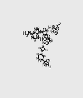 CCOP(=O)(O)OC[C@H]1O[C@@H](n2cnc3c(N)ncnc32)C[C@@H]1OP(=O)(O)OC[C@H]1C[C@@H](c2ccnc(C(N)=O)c2)C1